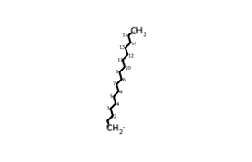 [CH2]C[CH]CCCCCCCCCCCCCC